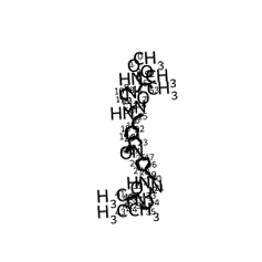 COC(=O)NC(C(=O)N1CCC[C@H]1c1ncc(-c2ccc3c(c2)CN(c2ccc(-c4cnc(C5CCCN5C(=O)[C@H](C)C(C)C)[nH]4)cc2)C3=O)[nH]1)C(C)C